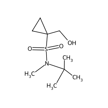 CN(C(C)(C)C)S(=O)(=O)C1(CO)CC1